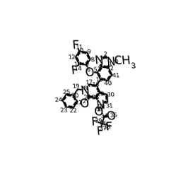 Cn1cnc2c(Oc3ccc(F)cc3F)c(-c3cn(Cc4ccccc4)c(=O)c4c3ccn4OC(=O)C(F)(F)F)ccc21